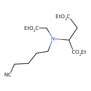 CCOC(=O)CC(C(=O)OCC)N(CCCCC#N)CC(=O)OCC